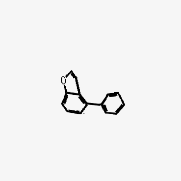 [c]1ccc2occc2c1-c1ccccc1